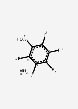 O=S(=O)(O)c1c(F)c(F)c(F)c(F)c1F.[AlH3]